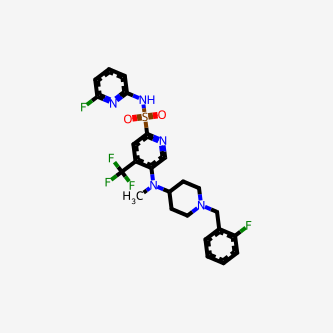 CN(c1cnc(S(=O)(=O)Nc2cccc(F)n2)cc1C(F)(F)F)C1CCN(Cc2ccccc2F)CC1